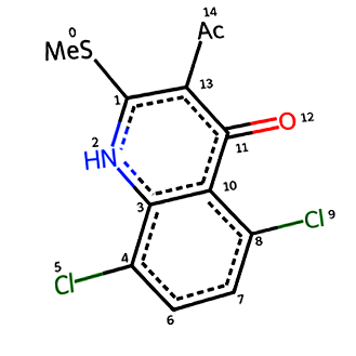 CSc1[nH]c2c(Cl)ccc(Cl)c2c(=O)c1C(C)=O